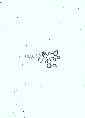 N#Cc1ccccc1CN(CC(=O)c1c(Cl)cncc1Cl)C(=O)/C(C=N)=C(/N[C@H]1CC[C@H](C(=O)O)CC1)C(F)(F)F